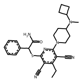 CCc1c(C#N)c(SC(C(N)=O)c2ccccc2)nc(N2CCC(N(C)C3CCC3)CC2)c1C#N